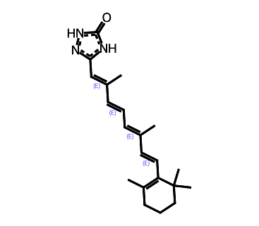 CC1=C(/C=C/C(C)=C/C=C/C(C)=C/c2n[nH]c(=O)[nH]2)C(C)(C)CCC1